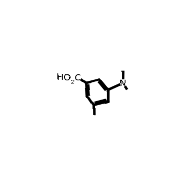 Cc1cc(C(=O)O)cc(N(C)C)c1